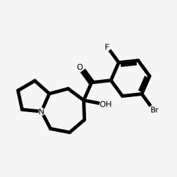 O=C(C1CC(Br)=CC=C1F)C1(O)CCCN2CCCC2C1